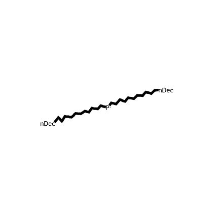 CCCCCCCCCCCCCCCCCCCCC[P]CCCCCCCCCCCCCCCCCCCCC